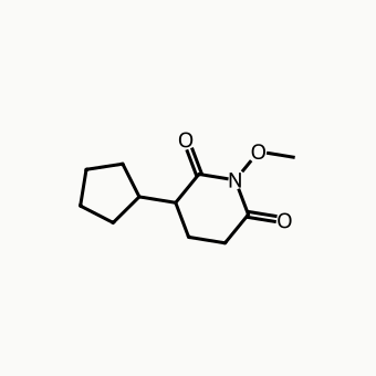 CON1C(=O)CCC(C2CCCC2)C1=O